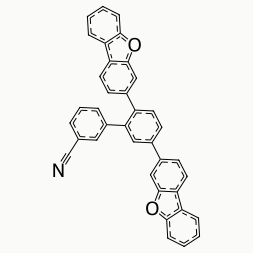 N#Cc1cccc(-c2cc(-c3ccc4c(c3)oc3ccccc34)ccc2-c2ccc3c(c2)oc2ccccc23)c1